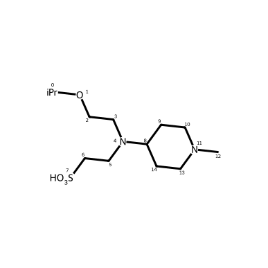 CC(C)OCCN(CCS(=O)(=O)O)C1CCN(C)CC1